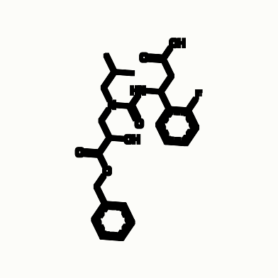 CC(C)CN(CC(O)C(=O)OCc1ccccc1)C(=O)NC(CC(=O)O)c1ccccc1F